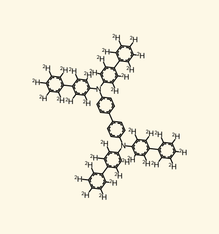 [2H]c1c([2H])c([2H])c(-c2c([2H])c([2H])c(N(c3ccc(-c4ccc(N(c5c([2H])c([2H])c(-c6c([2H])c([2H])c([2H])c([2H])c6[2H])c([2H])c5[2H])c5c([2H])c([2H])c(-c6c([2H])c([2H])c([2H])c([2H])c6[2H])c([2H])c5[2H])cc4)cc3)c3c([2H])c([2H])c(-c4c([2H])c([2H])c([2H])c([2H])c4[2H])c([2H])c3[2H])c([2H])c2[2H])c([2H])c1[2H]